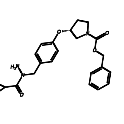 NN(Cc1ccc(O[C@@H]2CCN(C(=O)OCc3ccccc3)C2)cc1)C(=O)C1CC1